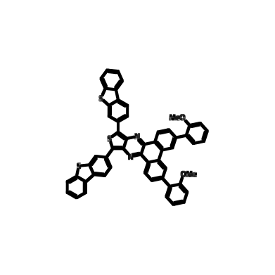 COc1ccccc1-c1ccc2c(c1)c1cc(-c3ccccc3OC)ccc1c1nc3c(-c4ccc5c(c4)sc4ccccc45)sc(-c4ccc5c(c4)sc4ccccc45)c3nc21